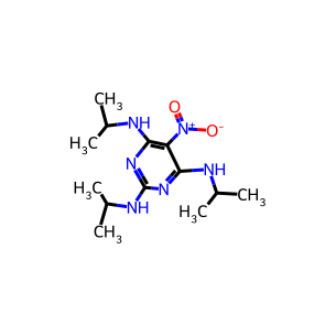 CC(C)Nc1nc(NC(C)C)c([N+](=O)[O-])c(NC(C)C)n1